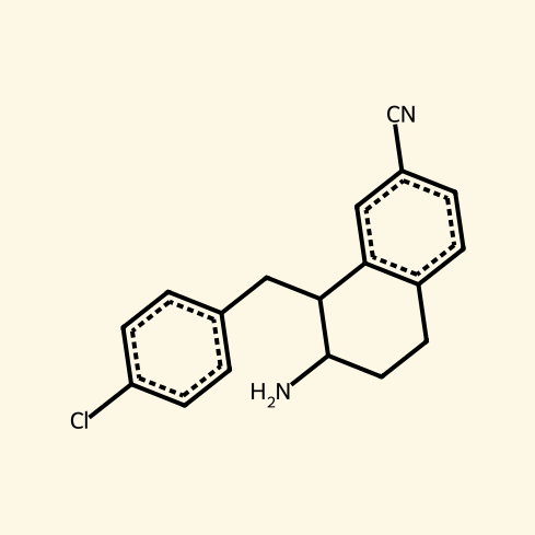 N#Cc1ccc2c(c1)C(Cc1ccc(Cl)cc1)C(N)CC2